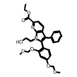 CCOC(=O)c1ccc2c(-c3ccccc3)c(-c3ccc(OCOC)cc3OCOC)n(CCO)c2n1